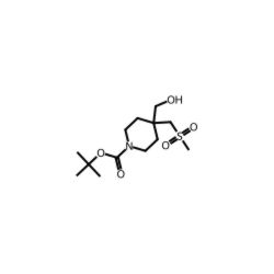 CC(C)(C)OC(=O)N1CCC(CO)(CS(C)(=O)=O)CC1